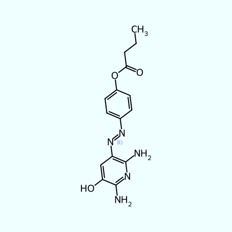 CCCC(=O)Oc1ccc(/N=N/c2cc(O)c(N)nc2N)cc1